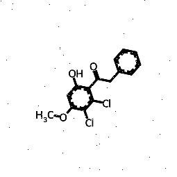 COc1cc(O)c(C(=O)Cc2ccccc2)c(Cl)c1Cl